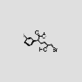 COC(=O)C(CCC(O)CBr)c1cccc(I)c1